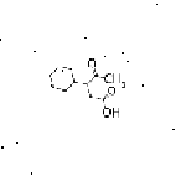 CC(=O)C(CC(=O)O)C1CCCCC1